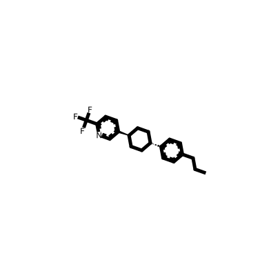 CCCc1ccc([C@H]2CC[C@H](c3ccc(C(F)(F)F)nc3)CC2)cc1